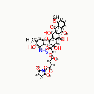 COc1cccc2c1C(=O)c1c(O)c3c(c(O)c1C2=O)C[C@@](O)(C(=O)COC(=O)CCC(=O)ON1C(=O)CCC1=O)C[C@@H]3O[C@@H]1C[C@@H](C)[C@@H](O)[C@@H](N)C1